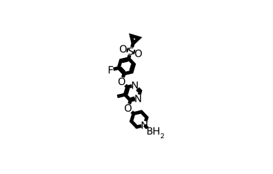 BN1CCC(Oc2ncnc(Oc3ccc(S(=O)(=O)C4CC4)cc3F)c2C)CC1